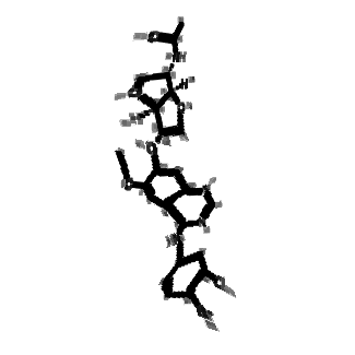 COc1cc2c(Nc3ccc(Br)c(Cl)c3)ncnc2cc1O[C@H]1CO[C@H]2[C@@H]1OC[C@@H]2NC(C)=O